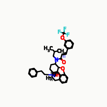 CC(C)CN(C(=O)/C=C/c1cccc(OC(F)(F)F)c1)C1CC[C@@]2(O)[C@H]3Cc4cccc5c4[C@@]2(CCN3CCc2ccccc2)C1O5